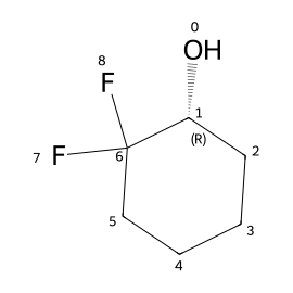 O[C@@H]1CCCCC1(F)F